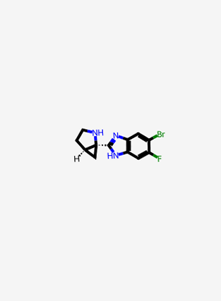 Fc1cc2[nH]c([C@]34C[C@H]3CCN4)nc2cc1Br